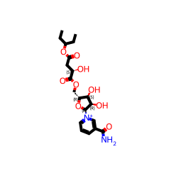 CCC(CC)OC(=O)C[C@H](O)C(=O)OC[C@H]1O[C@@H]([n+]2cccc(C(N)=O)c2)[C@H](O)[C@@H]1O